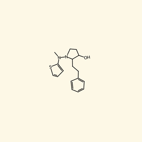 CN(c1cccs1)N1CCC(O)C1CCc1ccccc1